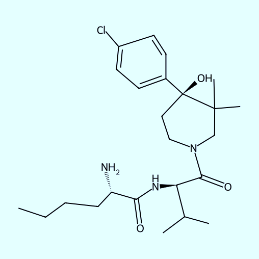 CCCC[C@H](N)C(=O)N[C@@H](C(=O)N1CC[C@](O)(c2ccc(Cl)cc2)C(C)(C)C1)C(C)C